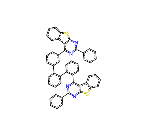 c1ccc(-c2nc(-c3cccc(-c4ccccc4-c4ccccc4-c4nc(-c5ccccc5)nc5sc6ccccc6c45)c3)c3c(n2)sc2ccccc23)cc1